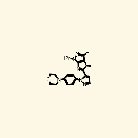 Cc1nn(C(C)C)c2c1C(C)C(c1ccnn1-c1ccc(N3CCOCC3)cc1)=N2